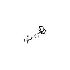 FC(F)(F)CCNCCC12CC3CC(CC(C3)C1)C2